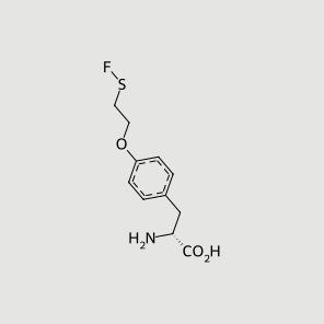 N[C@H](Cc1ccc(OCCSF)cc1)C(=O)O